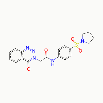 O=C(Cn1nnc2ccccc2c1=O)Nc1ccc(S(=O)(=O)N2CCCC2)cc1